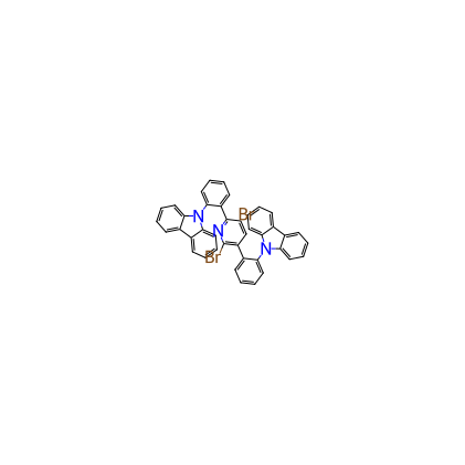 Brc1cc(-c2ccccc2-n2c3ccccc3c3ccccc32)c(Br)nc1-c1ccccc1-n1c2ccccc2c2ccccc21